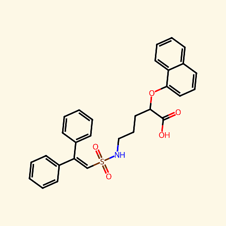 O=C(O)C(CCCNS(=O)(=O)C=C(c1ccccc1)c1ccccc1)Oc1cccc2ccccc12